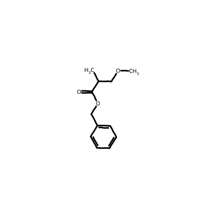 COCC(C)C(=O)OCc1ccccc1